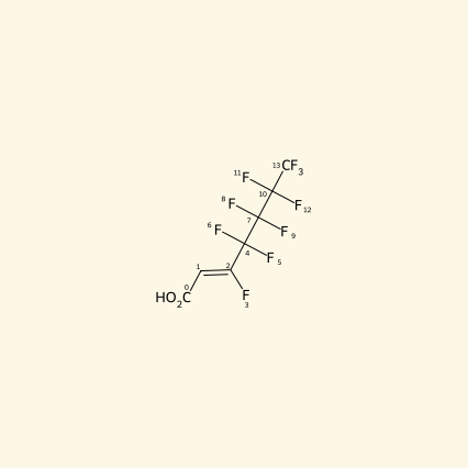 O=C(O)/C=C(\F)C(F)(F)C(F)(F)C(F)(F)C(F)(F)F